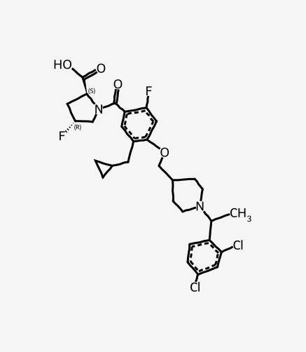 CC(c1ccc(Cl)cc1Cl)N1CCC(COc2cc(F)c(C(=O)N3C[C@H](F)C[C@H]3C(=O)O)cc2CC2CC2)CC1